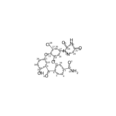 NC(=O)c1ccc(C(=O)c2cc(Oc3c(Cl)cc(-n4ncc(=O)[nH]c4=O)cc3Cl)ccc2O)cc1